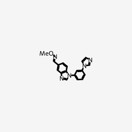 CON=Cc1ccc2c(c1)ncn2-c1cccc(-n2ccnc2)c1